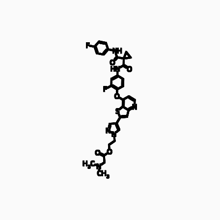 CN(C)CC(=O)OCCn1cc(-c2cc3nccc(Oc4ccc(NC(=O)C5(C(=O)Nc6ccc(F)cc6)CC5)cc4F)c3s2)cn1